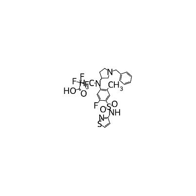 Cc1cc(S(=O)(=O)Nc2ccsn2)c(F)cc1N(C)[C@H]1CCN(Cc2ccccc2)C1.O=C(O)C(F)(F)F